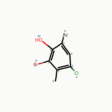 CC(=O)c1cc(Cl)c(C)c(Br)c1O